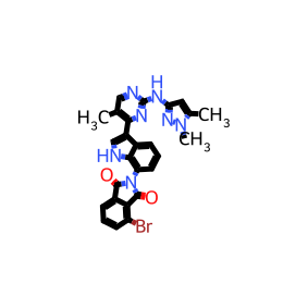 Cc1cnc(Nc2cc(C)n(C)n2)nc1-c1c[nH]c2c(N3C(=O)c4cccc(Br)c4C3=O)cccc12